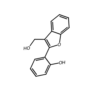 OCc1c(-c2ccccc2O)oc2ccccc12